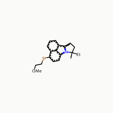 CCC1(C)CC=c2c3cccc4c(SCCOC)ccc(c43)n21